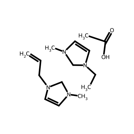 C=CCN1C=CN(C)C1.CC(=O)O.CCN1C=CN(C)C1